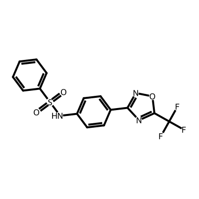 O=S(=O)(Nc1ccc(-c2noc(C(F)(F)F)n2)cc1)c1ccccc1